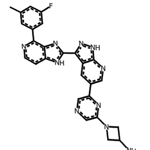 Cc1cc(F)cc(-c2nccc3[nH]c(-c4n[nH]c5ncc(-c6cncc(N7CC(N)C7)n6)cc45)nc23)c1